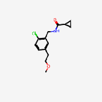 COCCc1ccc(Cl)c(CNC(=O)C2CC2)c1